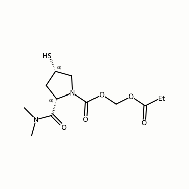 CCC(=O)OCOC(=O)N1C[C@@H](S)C[C@H]1C(=O)N(C)C